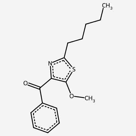 CCCCCc1nc(C(=O)c2ccccc2)c(OC)s1